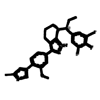 CC[C@@H](c1cc(F)c(F)c(F)c1)N1CCCc2c(-c3ccc(-n4cnc(C)c4)c(OC)c3)n[nH]c21